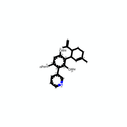 C=C(C)C1CCC(C)=CC1c1c(OC)cc(CCCCC)c(-c2cccnc2)c1OC